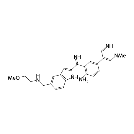 CN/C=C(\C=N)c1ccc(N)c(C(=N)c2cc3cc(CNCCOC)ccc3[nH]2)c1